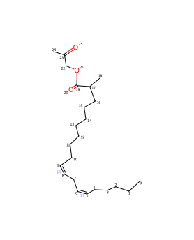 CCCCC/C=C\C/C=C\CCCCCCCC(C)C(=O)OCC(C)=O